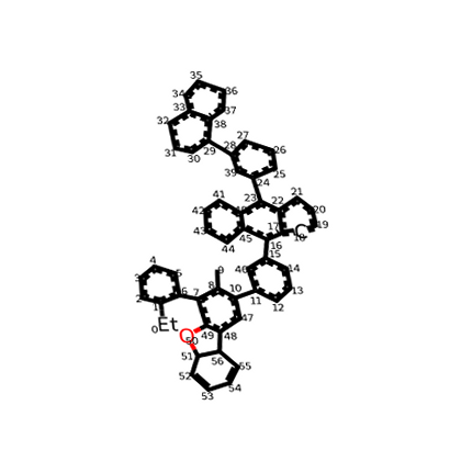 CCc1ccccc1-c1c(C)c(-c2cccc(-c3c4ccccc4c(-c4cccc(-c5cccc6ccccc56)c4)c4ccccc34)c2)cc2c1OC1C=CC=CC21